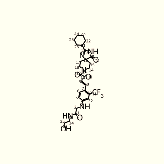 O=C(CNc1ccc(/C=C/S(=O)(=O)N2CCC3(CC2)N=C(C2CCCCC2)NC3=O)c(C(F)(F)F)c1)NCCO